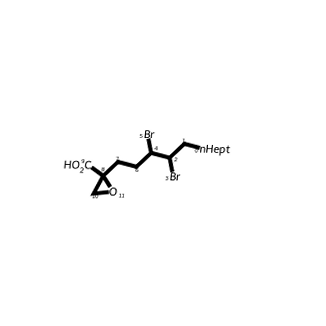 CCCCCCCCC(Br)C(Br)CCC1(C(=O)O)CO1